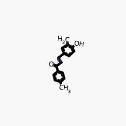 Cc1ccc(C(=O)/C=C/c2ccc(O)c(C)c2)cc1